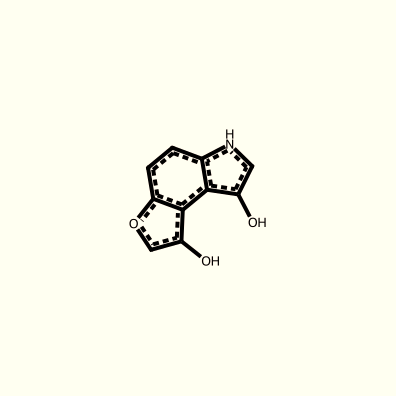 Oc1c[nH]c2ccc3occ(O)c3c12